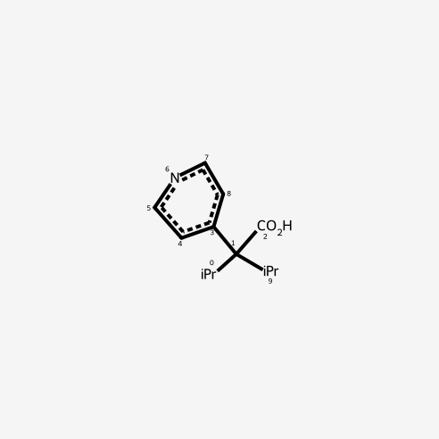 CC(C)C(C(=O)O)(c1ccncc1)C(C)C